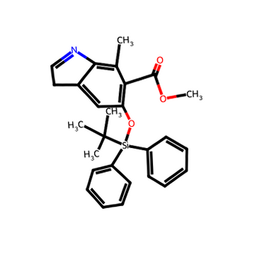 COC(=O)c1c(O[Si](c2ccccc2)(c2ccccc2)C(C)(C)C)cc2c(c1C)N=CC2